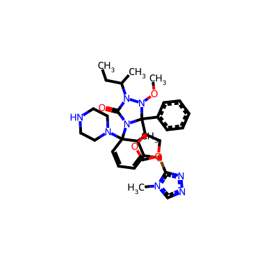 CCC(C)N1C(=O)N(C2(N3CCNCC3)C=CC=C(Sc3nncn3C)C2C)C(c2ccccc2)(C2COCO2)N1OC